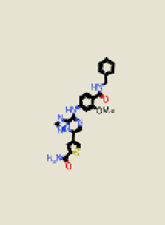 COc1cc(Nc2ncc(-c3csc(C(N)=O)c3)n3ncnc23)ccc1C(=O)NCc1ccccc1